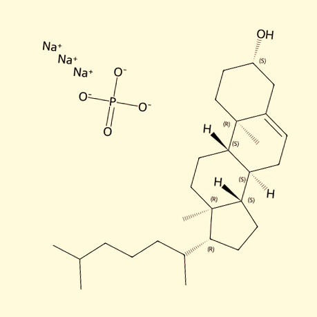 CC(C)CCCC(C)[C@H]1CC[C@H]2[C@@H]3CC=C4C[C@@H](O)CC[C@]4(C)[C@H]3CC[C@]12C.O=P([O-])([O-])[O-].[Na+].[Na+].[Na+]